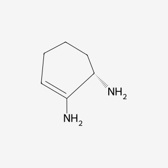 NC1=CCCC[C@@H]1N